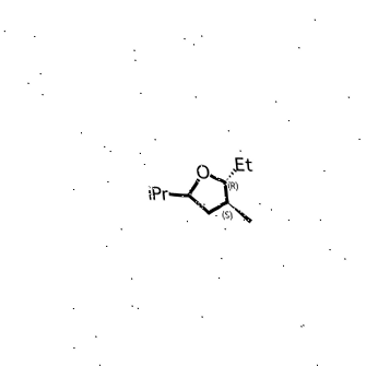 CC[C@H]1OC(C(C)C)C[C@@H]1C